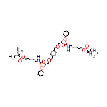 C=C(C)C(=O)OCCCCCNC(=O)OC(COCC1CCC(COCC(COc2ccccc2)OC(=O)NCCCCCOC(=O)C(=C)C)CC1)COc1ccccc1